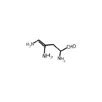 N/C=C(\N)CC(N)C=O